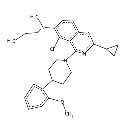 CCCN(C)c1ccc2nc(C3CC3)nc(N3CCC(c4ccccc4OC)CC3)c2c1Cl